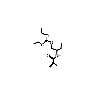 C=C(C)C(=O)NC(CC)CO[SiH](OCC)OCC